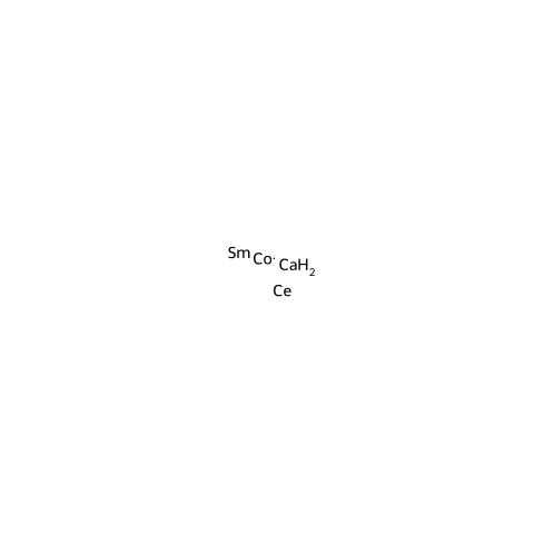 [CaH2].[Ce].[Co].[Sm]